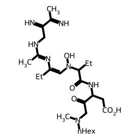 CCCCCCN(C)CC(=O)C(CC(=O)O)NC(=O)C(CC)N(O)/C=C(CC)\N=C(/C)NCC(=N)C(C)=N